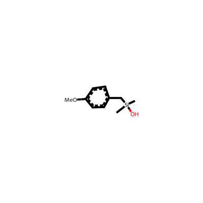 COc1ccc(C[Si](C)(C)O)cc1